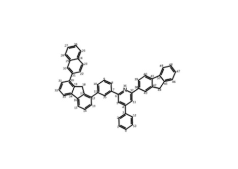 c1ccc(-c2cc(-c3cccc(-c4cccc5c4Cc4c(-c6ccc7ccccc7c6)cccc4-5)c3)nc(-c3ccc4c(c3)Cc3ccccc3-4)c2)cc1